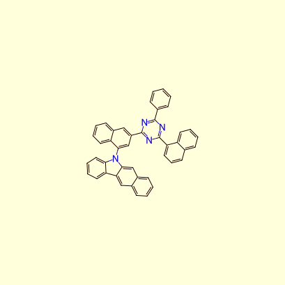 c1ccc(-c2nc(-c3cc(-n4c5ccccc5c5cc6ccccc6cc54)c4ccccc4c3)nc(-c3cccc4ccccc34)n2)cc1